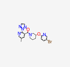 Cc1cnc(-n2nccn2)c(C(=O)N2CCCC(Oc3ccc(Br)cn3)C2)c1